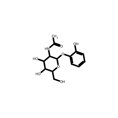 CC(=O)NC1C(Oc2ccccc2O)OC(CO)C(O)C1O